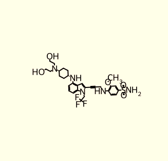 COc1cc(S(N)(=O)=O)ccc1NCC#Cc1cc2c(N[C@H]3CC[C@H](N(CCO)CCO)CC3)cccc2n1CC(F)(F)F